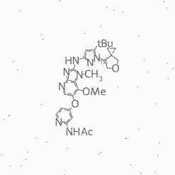 COc1c(Oc2ccnc(NC(C)=O)c2)cnc2nc(Nc3cc(C(C)(C)C)n([C@@H]4COCC45CC5)n3)n(C)c12